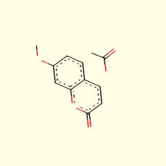 CC(=O)O.COc1ccc2ccc(=O)oc2c1